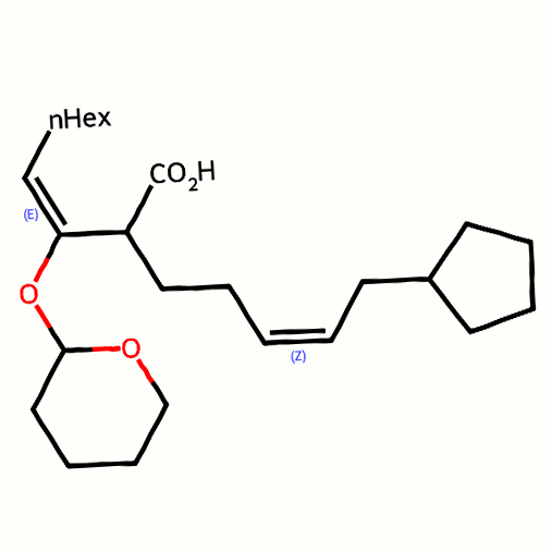 CCCCCC/C=C(/OC1CCCCO1)C(CC/C=C\CC1CCCC1)C(=O)O